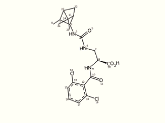 CC1C(NC(=O)NC[C@H](NC(=O)c2c(Cl)cccc2Cl)C(=O)O)C2CC1C2(C)C